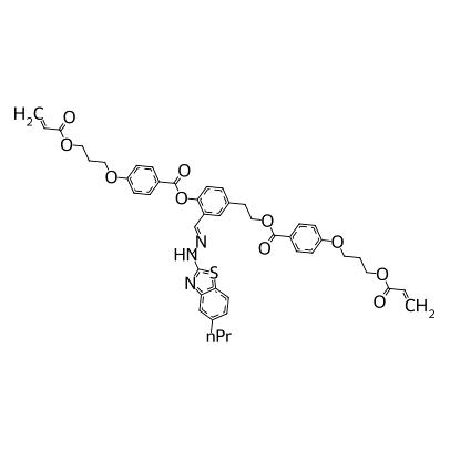 C=CC(=O)OCCCOc1ccc(C(=O)OCCc2ccc(OC(=O)c3ccc(OCCCOC(=O)C=C)cc3)c(/C=N/Nc3nc4cc(CCC)ccc4s3)c2)cc1